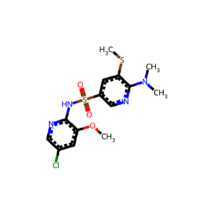 COc1cc(Cl)cnc1NS(=O)(=O)c1cnc(N(C)C)c(SC)c1